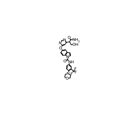 NC(=O)C(CO)c1cc(Oc2ccc3c(ccn3C(=O)Nc3ccc(N4CCOCC4)c(C(F)(F)F)c3)c2)ncn1